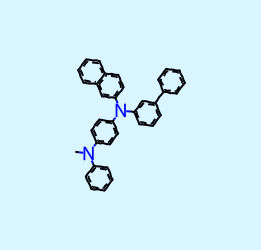 CN(c1ccccc1)c1ccc(N(c2cccc(-c3ccccc3)c2)c2ccc3ccccc3c2)cc1